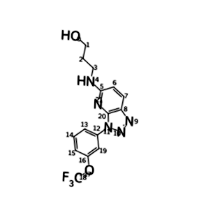 OCCCNc1ccc2nnn(-c3cccc(OC(F)(F)F)c3)c2n1